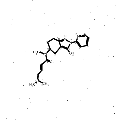 CN(C)C/C=C/C(=O)N(C)C1CCc2nn(-c3ccccn3)c(O)c2C1